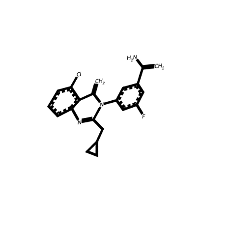 C=C(N)c1cc(F)cc(N2C(=C)c3c(Cl)cccc3N=C2CC2CC2)c1